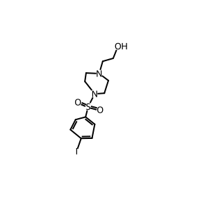 O=S(=O)(c1ccc(I)cc1)N1CCN(CCO)CC1